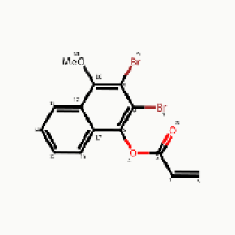 C=CC(=O)Oc1c(Br)c(Br)c(OC)c2ccccc12